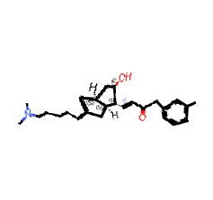 Cc1cccc(CC(=O)/C=C/[C@@H]2[C@H]3CC(CCCCCN(C)C)=C[C@H]3C[C@H]2O)c1